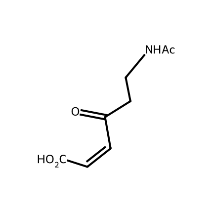 CC(=O)NCCC(=O)/C=C\C(=O)O